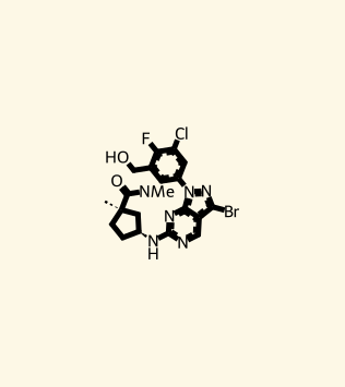 CNC(=O)[C@]1(C)CC[C@@H](Nc2ncc3c(Br)nn(-c4cc(Cl)c(F)c(CO)c4)c3n2)C1